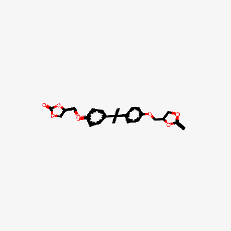 C=C1OCC(COc2ccc(C(C)(C)c3ccc(OCC4COC(=O)O4)cc3)cc2)O1